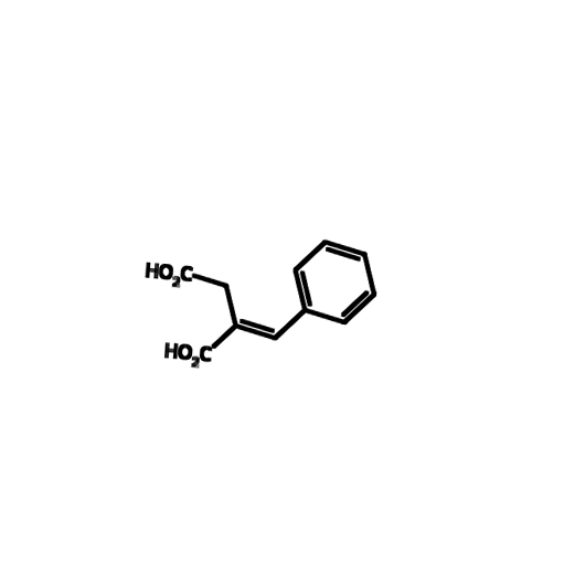 O=C(O)CC(=Cc1ccccc1)C(=O)O